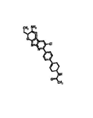 CCC(Oc1nc2nc(-c3ccc(C4=CCC(NC(C)=O)CC4)cc3)c(Cl)cc2[nH]1)C(N)=O